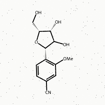 COc1cc(C#N)ccc1[C@@H]1O[C@H](CO)[C@H](O)C1O